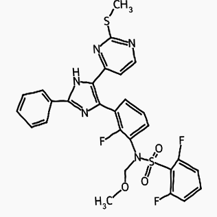 COCN(c1cccc(-c2nc(-c3ccccc3)[nH]c2-c2ccnc(SC)n2)c1F)S(=O)(=O)c1c(F)cccc1F